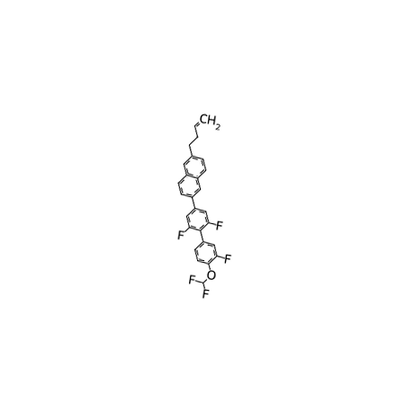 C=CCCc1ccc2cc(-c3cc(F)c(-c4ccc(OC(F)F)c(F)c4)c(F)c3)ccc2c1